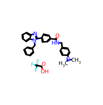 CN(C)c1ccc(CNC(=O)c2ccc(-c3nc4ccccc4n3Cc3ccccc3)cc2)cc1.O=C(O)C(F)(F)F